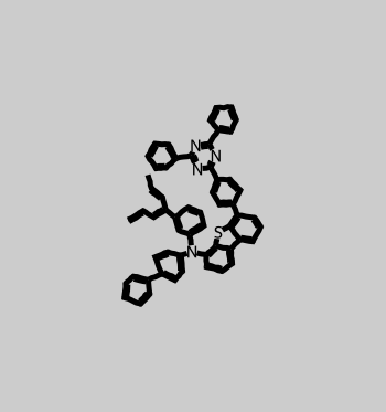 C=C/C=C(\C=C\C)c1cccc(N(c2ccc(-c3ccccc3)cc2)c2cccc3c2sc2c(-c4ccc(-c5nc(-c6ccccc6)nc(-c6ccccc6)n5)cc4)cccc23)c1